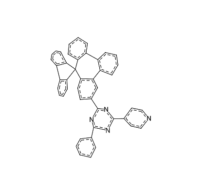 c1ccc(-c2nc(-c3ccncc3)nc(-c3ccc4c(c3)-c3ccccc3-c3ccccc3C43c4ccccc4-c4ccccc43)n2)cc1